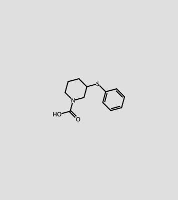 O=C(O)N1CCCC(Sc2ccccc2)C1